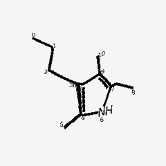 CCCc1c(C)[nH]c(C)c1C